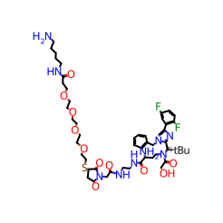 CC(C)(C)[C@H](c1nc(-c2cc(F)ccc2F)cn1Cc1ccccc1)N(CCC(N)C(=O)NCCNC(=O)CN1C(=O)CC(SCCOCCOCCOCCOCCC(=O)NCCCCCN)C1=O)C(=O)CO